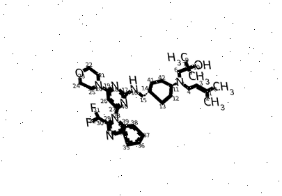 CC(C)=CCN(CC(C)(C)O)[C@H]1CC[C@H](CNc2nc(N3CCOCC3)cc(-n3c(C(F)F)nc4ccccc43)n2)CC1